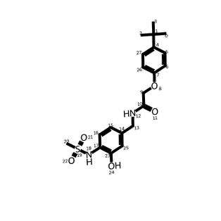 CC(C)(C)c1ccc(OCC(=O)NCc2ccc(NS(C)(=O)=O)c(O)c2)cc1